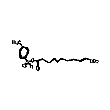 CCCCCCCCC=CCCCCCCCC(=O)OS(=O)(=O)c1ccc(C)cc1